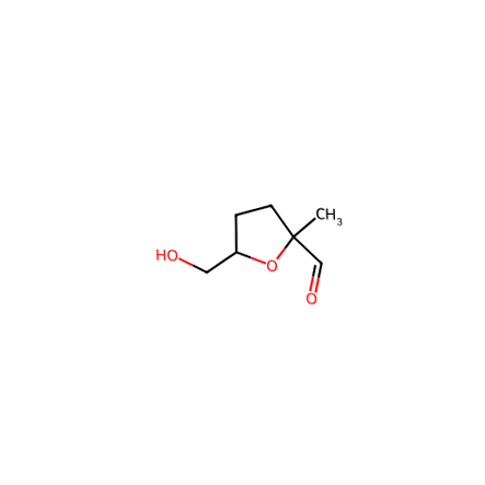 CC1(C=O)CCC(CO)O1